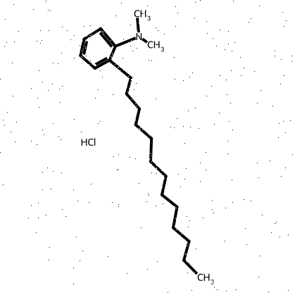 CCCCCCCCCCCCCc1ccccc1N(C)C.Cl